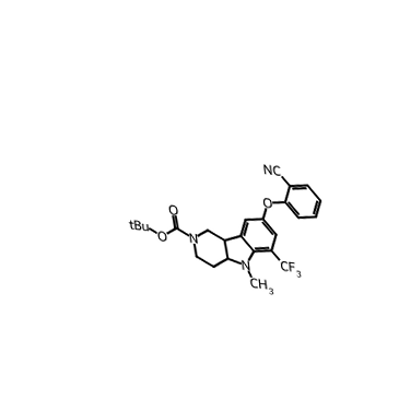 CN1c2c(cc(Oc3ccccc3C#N)cc2C(F)(F)F)C2CN(C(=O)OC(C)(C)C)CCC21